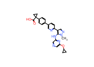 Cn1ncc(-c2ccc(-c3ccc(C4(C(=O)O)CC4)cc3)cn2)c1Nc1cncc(OC2CC2)n1